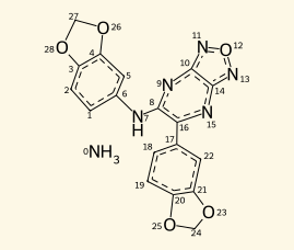 N.c1cc2c(cc1Nc1nc3nonc3nc1-c1ccc3c(c1)OCO3)OCO2